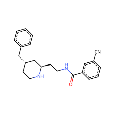 N#Cc1cccc(C(=O)NCC[C@@H]2C[C@@H](Cc3ccccc3)CCN2)c1